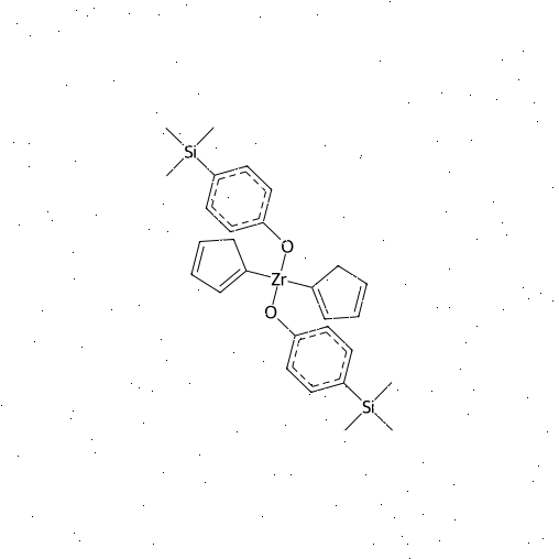 C[Si](C)(C)c1ccc([O][Zr]([O]c2ccc([Si](C)(C)C)cc2)([C]2=CC=CC2)[C]2=CC=CC2)cc1